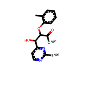 COC(=O)C(Oc1ccccc1C)C(O)c1ccnc(SC)n1